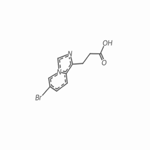 O=C(O)CCc1ncn2cc(Br)ccc12